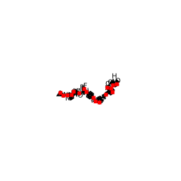 CN(CC1CCN(CCCCc2cccc3c2n(C)c(=O)n3C2CCC(=O)NC2=O)CC1)C[C@H]1CC[C@H](n2cc(NC(=O)c3coc(-c4ccnc(NCC5CC5)c4)n3)c(C(F)F)n2)CC1